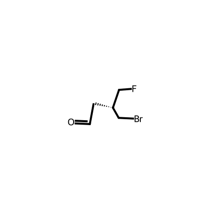 O=CC[C@H](CF)CBr